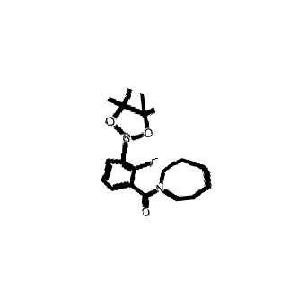 CC1(C)OB(c2cccc(C(=O)N3CCCCCC3)c2F)OC1(C)C